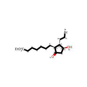 CCOC(=O)CCCCCC[C@@H]1C(=O)C[C@H](O)[C@H]1CCC(C)=O